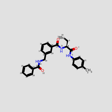 Cc1ccc(NC(=O)[C@H](CC(C)(C)C)NC(=O)c2cccc(CNC(=O)c3ccccc3)c2)cc1